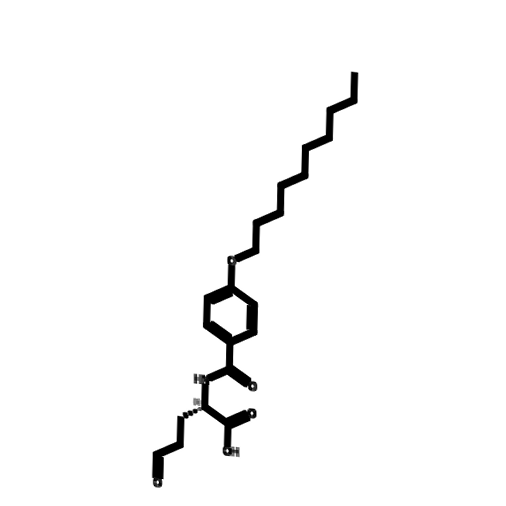 CCCCCCCCCCOc1ccc(C(=O)N[C@@H](CCC=O)C(=O)O)cc1